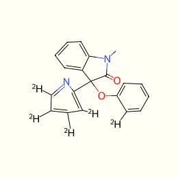 [2H]c1ccccc1OC1(c2nc([2H])c([2H])c([2H])c2[2H])C(=O)N(C)c2ccccc21